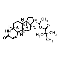 CC(OC(=O)C(C)(C)C)[C@H]1CC[C@H]2[C@@H]3CC[C@H]4NC(=O)C=C[C@]4(C)[C@H]3CC[C@]12C